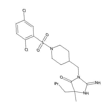 CC(C)CC1(C)NC(=N)N(CC2CCN(S(=O)(=O)c3cc(Cl)ccc3Cl)CC2)C1=O